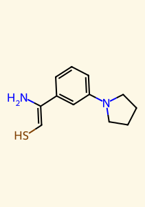 N/C(=C\S)c1cccc(N2CCCC2)c1